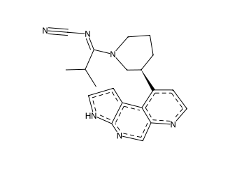 CC(C)/C(=N\C#N)N1CCC[C@@H](c2ccnc3cnc4[nH]ccc4c23)C1